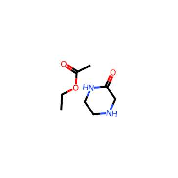 CCOC(C)=O.O=C1CNCCN1